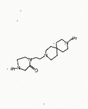 CC(C)N1CCC2(CCN(CCN3CCN(C(C)C)CC3=O)CC2)CC1